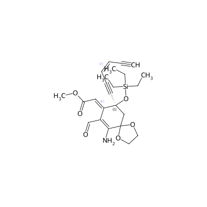 C#C/C=C\C#C[C@]1(O[Si](CC)(CC)CC)CC2(OCCO2)C(N)=C(C=O)/C1=C\C(=O)OC